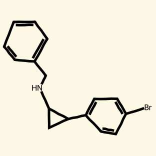 Brc1ccc(C2CC2NCc2ccccc2)cc1